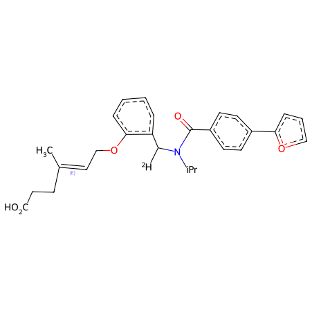 [2H]C(c1ccccc1OC/C=C(\C)CCC(=O)O)N(C(=O)c1ccc(-c2ccco2)cc1)C(C)C